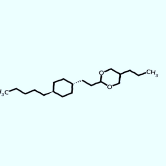 CCCCC[C@H]1CC[C@H](CCC2OCC(CCC)CO2)CC1